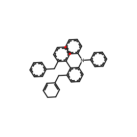 C1=CC(Cc2cccc(N(c3ccccc3)c3ccccc3)c2-c2ccccc2Cc2ccccc2)=CCC1